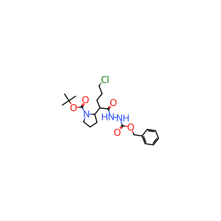 CC(C)(C)OC(=O)N1CCCC1C(CCCCl)C(=O)NNC(=O)OCc1ccccc1